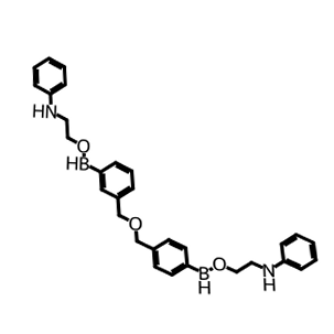 B(OCCNc1ccccc1)c1ccc(COCc2cccc(BOCCNc3ccccc3)c2)cc1